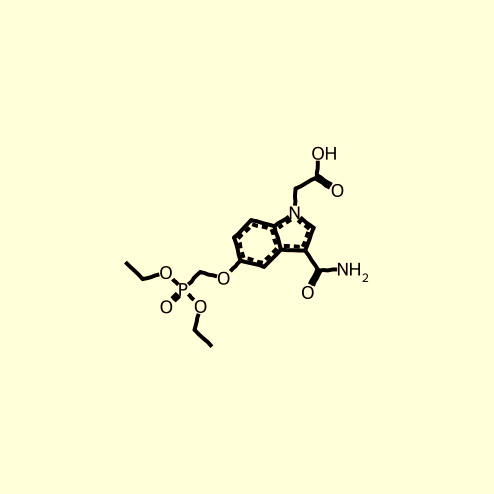 CCOP(=O)(COc1ccc2c(c1)c(C(N)=O)cn2CC(=O)O)OCC